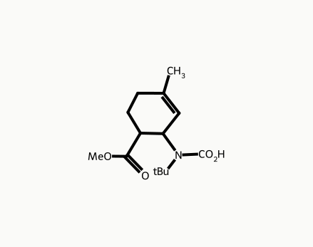 COC(=O)C1CCC(C)=CC1N(C(=O)O)C(C)(C)C